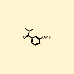 COc1[c]ccc(C(=O)N(C)C)c1